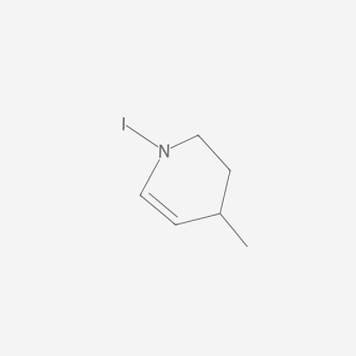 CC1C=CN(I)CC1